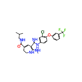 CNC1=C(C(=N)Nc2ccc(Oc3cccc(C(F)(F)F)c3)c(Cl)c2)C=C(C(=O)NCC(C)C)CCN1